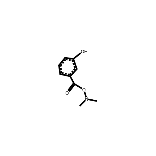 CN(C)OC(=O)c1cccc(O)c1